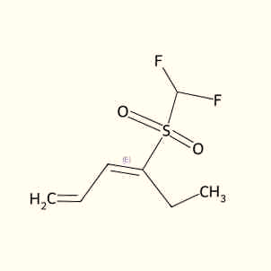 C=C/C=C(\CC)S(=O)(=O)C(F)F